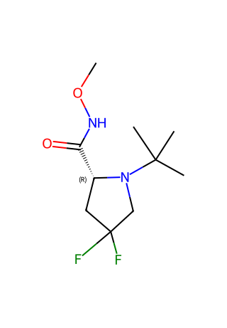 CONC(=O)[C@H]1CC(F)(F)CN1C(C)(C)C